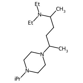 CCN(CC)C(C)CCC(C)N1CCN(C(C)C)CC1